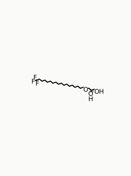 OC[C@H](O)COCCCCCCCCCCCCCCCCCC(F)(F)F